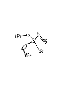 CC(C)OS(OC(C)C)(P=S)C(C)C